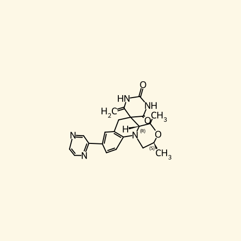 C=C1NC(=O)NC(=O)C12Cc1cc(-c3cnccn3)ccc1N1C[C@H](C)OC(C)[C@H]12